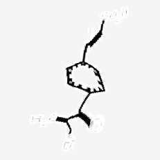 C=C(CC)C(=O)c1ccc(/C=C/C(=O)O)cc1